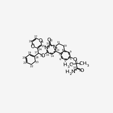 CC(C)(Oc1ccc2c(c1)CCn1c-2cc(OC(C2=CC=CCC2)C2=COC=CO2)nc1=O)C(N)=O